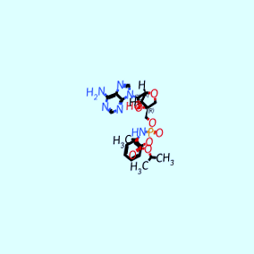 CC(C)OC(=O)C(C)NP(=O)(OC[C@@]12CO[C@@H]([C@H](n3cnc4c(N)ncnc43)O1)[C@@H]2O)Oc1ccccc1